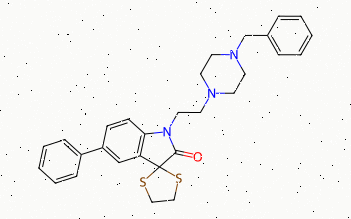 O=C1N(CCN2CCN(Cc3ccccc3)CC2)c2ccc(-c3ccccc3)cc2C12SCCS2